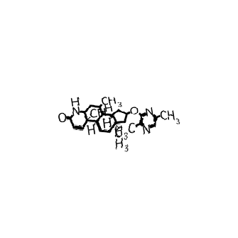 Cc1cnc(C)c(OC2C[C@H]3[C@@H]4C(C)CC5NC(=O)C=C[C@]5(C)[C@@H]4CC[C@]3(C)C2)n1